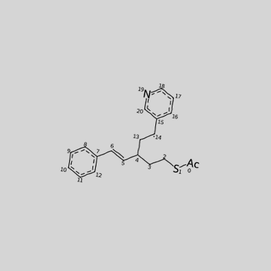 CC(=O)SCCC(C=Cc1ccccc1)C[CH]c1cccnc1